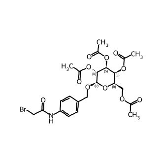 CC(=O)OC[C@H]1O[C@@H](OCc2ccc(NC(=O)CBr)cc2)[C@H](OC(C)=O)[C@@H](OC(C)=O)[C@H]1OC(C)=O